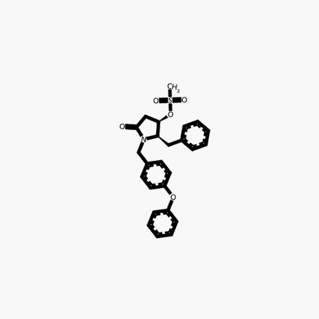 CS(=O)(=O)O[C@@H]1CC(=O)N(Cc2ccc(Oc3ccccc3)cc2)[C@@H]1Cc1ccccc1